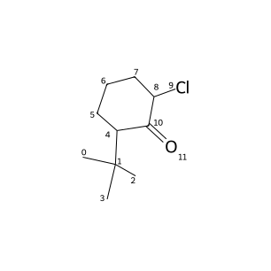 CC(C)(C)C1CCCC(Cl)C1=O